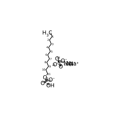 CCCCCCCCCCCCOP(=O)([O-])O.O=S(=O)([O-])[O-].[Na+].[Na+].[Na+]